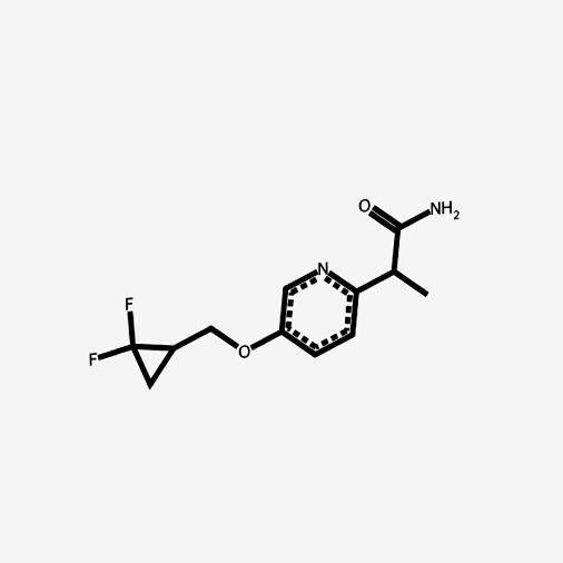 CC(C(N)=O)c1ccc(OCC2CC2(F)F)cn1